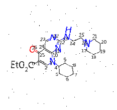 CCOC(=O)c1cn(C2CCCCC2)c2nc(NCCN3CCCCC3)ncc2c1=O